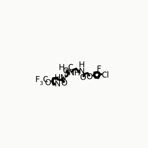 C=C(CCNC(=O)COc1ccc(Cl)c(F)c1)NC(=O)CNC(=O)c1ccc(OC(F)(F)F)cn1